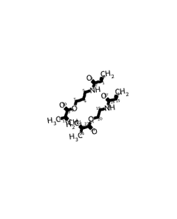 C=CC(=O)NCCCOC(=O)C(=C)C.C=CC(=O)NCCOC(=O)C(=C)C